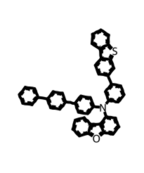 c1ccc(-c2ccc(-c3ccc(N(c4cccc(-c5ccc6c(c5)sc5ccccc56)c4)c4cccc5oc6ccccc6c45)cc3)cc2)cc1